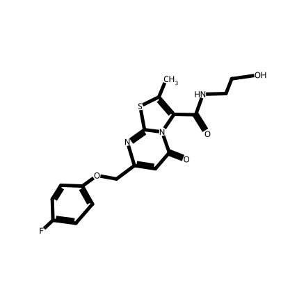 Cc1sc2nc(COc3ccc(F)cc3)cc(=O)n2c1C(=O)NCCO